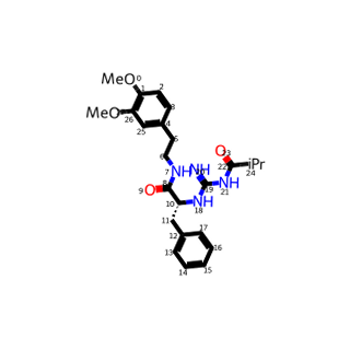 COc1ccc(CCNC(=O)[C@@H](Cc2ccccc2)NC(=N)NC(=O)C(C)C)cc1OC